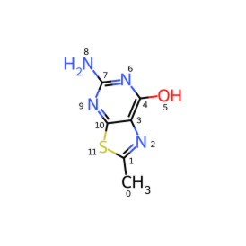 Cc1nc2c(O)nc(N)nc2s1